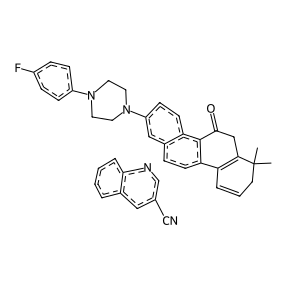 CC1(C)CC=CC2=C1CC(=O)c1c2ccc2cc(N3CCN(c4ccc(F)cc4)CC3)ccc12.N#Cc1cnc2ccccc2c1